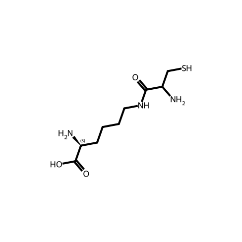 NC(CS)C(=O)NCCCC[C@H](N)C(=O)O